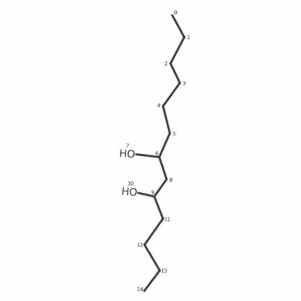 CCCCCCC(O)CC(O)CCCC